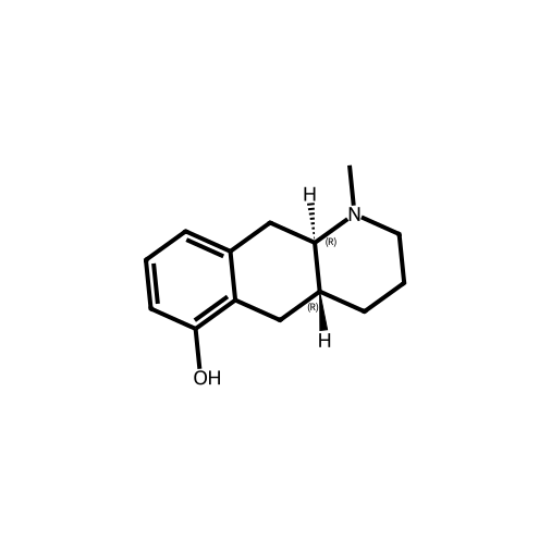 CN1CCC[C@@H]2Cc3c(O)cccc3C[C@H]21